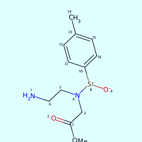 COC(=O)CN(CCN)[S+]([O-])c1ccc(C)cc1